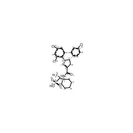 CC([N+]1(NC(=O)C2=NN(c3ccc(Cl)cc3Cl)[C@H](c3ccc(Cl)cc3)C2)CCCCC1)S(=O)(=O)O